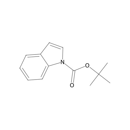 CC(C)(C)OC(=O)n1ccc2ccccc21